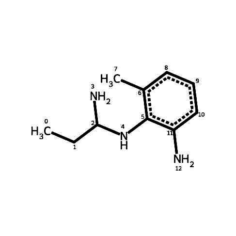 CCC(N)Nc1c(C)cccc1N